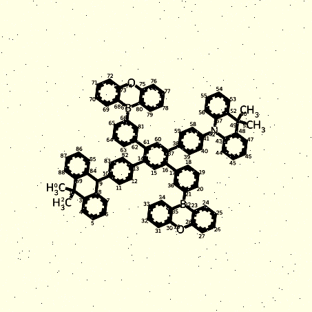 CC1(C)c2ccccc2C(c2ccc(-c3cc(-c4cccc(B5c6ccccc6Oc6ccccc65)c4)c(-c4ccc(N5c6ccccc6C(C)(C)c6ccccc65)cc4)cc3-c3cccc(B4c5ccccc5Oc5ccccc54)c3)cc2)c2ccccc21